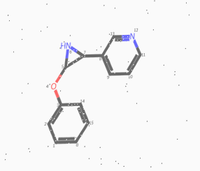 c1ccc(OC2NC2c2cccnc2)cc1